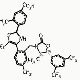 CCC1=C(c2ccc(C(F)(F)F)cc2CN2C(=O)O[C@H](c3cc(C(F)(F)F)cc(C(F)(F)F)c3)[C@@H]2C)NC(c2ccc(C(=O)O)cc2C)S1